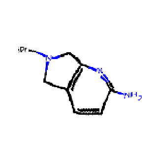 CC(C)N1Cc2ccc(N)nc2C1